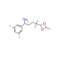 CC1OC(C(C)(C)CC[C@H](N)c2cc(F)cc(F)c2)O1